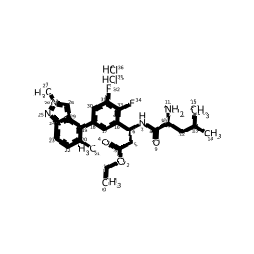 CCOC(=O)C[C@H](NC(=O)[C@@H](N)CC(C)C)c1cc(-c2c(C)ccc3nn(C)cc23)cc(F)c1F.Cl.Cl